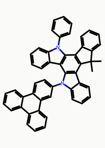 CC1(C)c2ccccc2-c2c1c1c3ccccc3n(-c3ccc4c5ccccc5c5ccccc5c4c3)c1c1c3ccccc3n(-c3ccccc3)c21